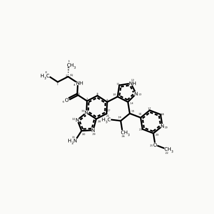 CC[C@H](C)NC(=O)c1cc(-c2c[nH]nc2C(c2ccnc(OC)c2)C(C)C)cc2nc(N)nn12